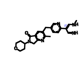 CN/C=C(\C=N)c1ccc(Cc2cc3c(nc2C)CN(C2CCOCC2)C3=O)cn1